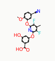 COc1ccc(C#N)cc1Oc1nc(Oc2cc(O)cc(C(=O)O)c2)c(F)c(C)c1F